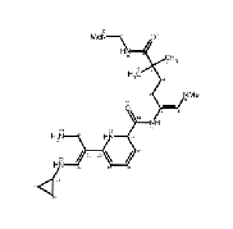 CN/C=C(\CCC(C)(C)C(=O)NCNC)NC(=O)C1C=CC=C(/C(=C/NC2CC2)CN)N1